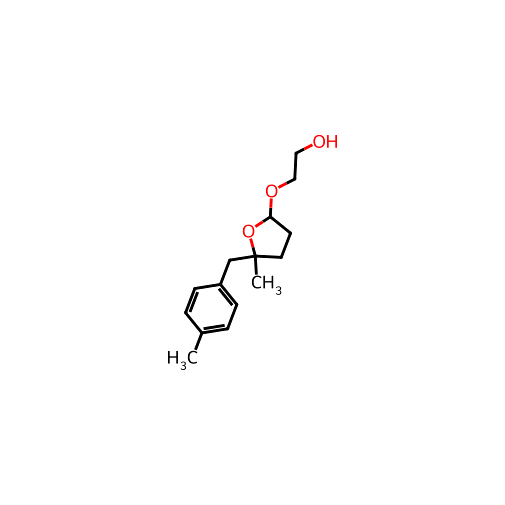 Cc1ccc(CC2(C)CCC(OCCO)O2)cc1